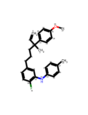 C=CC(C)(CCCc1ccc(F)c(Nc2ccc(C)cc2)c1)c1ccc(OCC)cc1